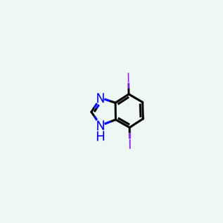 Ic1ccc(I)c2[nH]cnc12